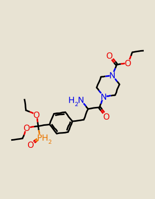 CCOC(=O)N1CCN(C(=O)C(N)Cc2ccc(C(OCC)(OCC)[PH2]=O)cc2)CC1